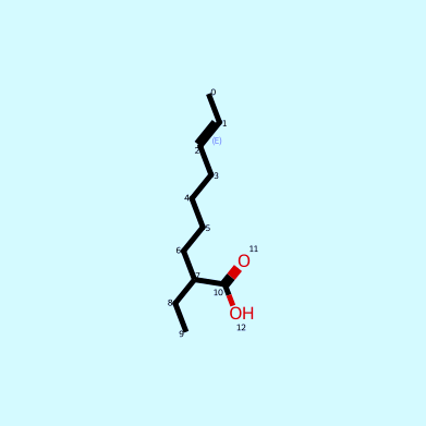 C/C=C/CCCCC(CC)C(=O)O